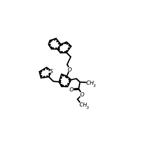 CCOC(=O)C(C)Cc1ccc(Cc2cccs2)cc1OCCc1ccc2ccccc2c1